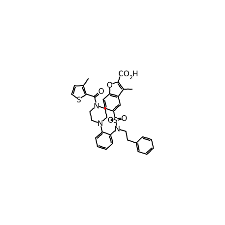 Cc1ccsc1C(=O)N1CCN(c2ccccc2N(CCc2ccccc2)S(=O)(=O)c2ccc3oc(C(=O)O)c(C)c3c2)CC1